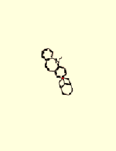 CN1c2ccccc2C=Cc2cc(C3C4CCCC3CCC4)ccc21